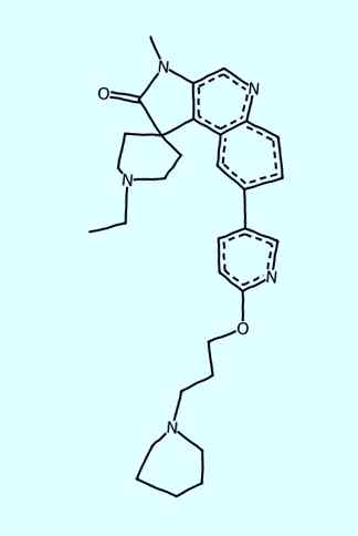 CCN1CCC2(CC1)C(=O)N(C)c1cnc3ccc(-c4ccc(OCCCN5CCCCC5)nc4)cc3c12